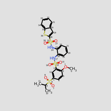 COc1ccc(S(=O)(=O)C(C)C)cc1S(=O)(=O)Nc1ccccc1NS(=O)(=O)c1cc2ccccc2s1